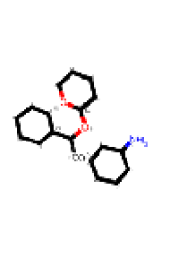 NC1CCCCC1.O=C(O)C(OC1CCCCO1)C1CCCCC1